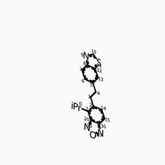 CC(C)c1c(CCc2ccc3ncsc3c2)ccc2nonc12